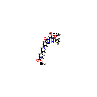 COC(=O)C(CNC(=O)c1ccc(N2CCC(C3CCN(C(=O)OC(C)(C)C)CC3)CC2)cc1)NC(=O)c1cccs1